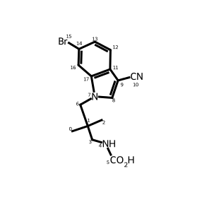 CC(C)(CNC(=O)O)Cn1cc(C#N)c2ccc(Br)cc21